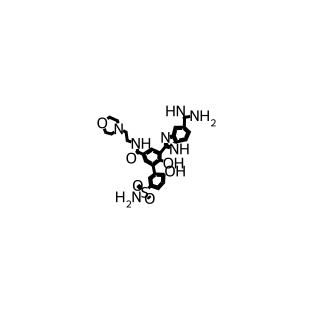 N=C(N)c1ccc2[nH]c(-c3cc(C(=O)NCCN4CCOCC4)cc(-c4cc(S(N)(=O)=O)ccc4O)c3O)nc2c1